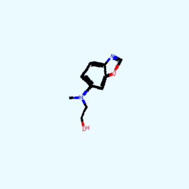 CN(CCO)c1ccc2ncoc2c1